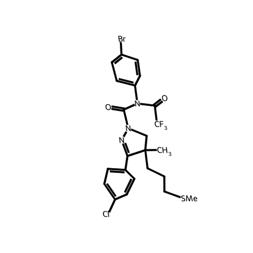 CSCCCC1(C)CN(C(=O)N(C(=O)C(F)(F)F)c2ccc(Br)cc2)N=C1c1ccc(Cl)cc1